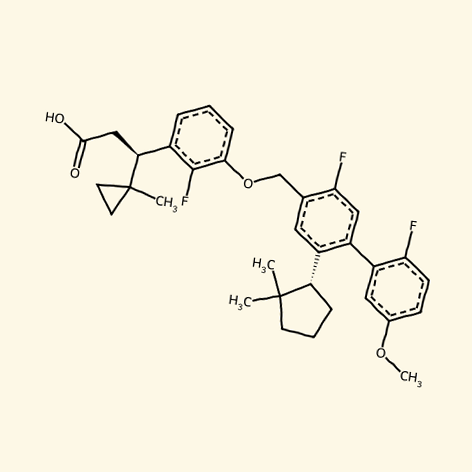 COc1ccc(F)c(-c2cc(F)c(COc3cccc([C@H](CC(=O)O)C4(C)CC4)c3F)cc2[C@@H]2CCCC2(C)C)c1